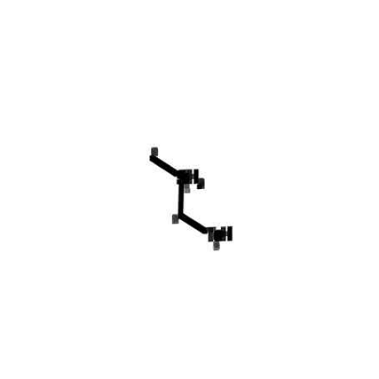 C[SiH2]C[TeH]